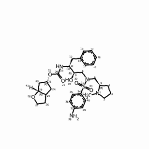 CN1CCC[C@@H]1CN(C[C@@H](O)[C@H](Cc1ccccc1)NC(=O)O[C@@H]1CC2CCO[C@@H]2C1)S(=O)(=O)c1ccc(N)cc1